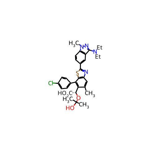 CCN(CC)c1nn(C)c2ccc(-c3nc4cc(C)c([C@H](OC(C)(C)O)C(=O)O)c(-c5ccc(Cl)cc5)c4s3)cc12